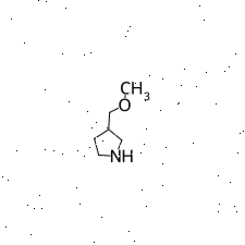 COCC1CCNC1